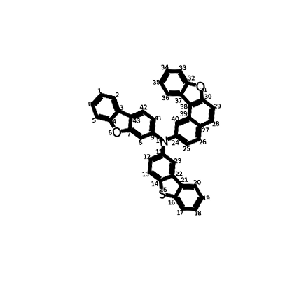 c1ccc2c(c1)oc1cc(N(c3ccc4sc5ccccc5c4c3)c3ccc4ccc5oc6ccccc6c5c4c3)ccc12